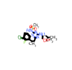 CC(C)C[C@H](CO)Nc1nc(C[C@H](C)c2cccc(Cl)c2F)nc(NS(C)(=O)=O)n1